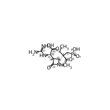 CCC(CC)(CP(=O)(O)O)[C@@H]1NC(=O)[C@H]1[C@@H](NC(=N)N)C(=O)O